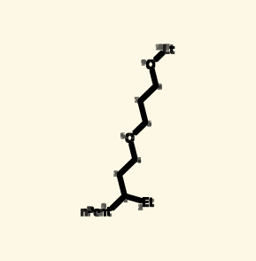 CCCCCC(CC)CCOCCCOCC